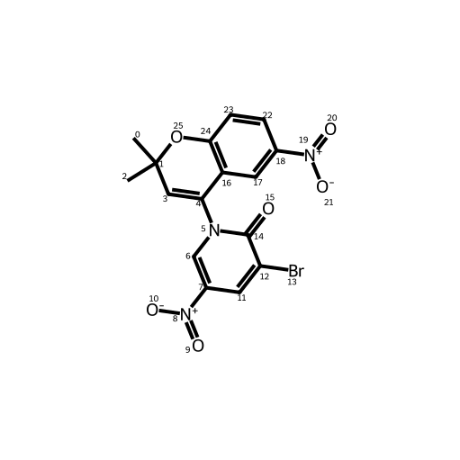 CC1(C)C=C(n2cc([N+](=O)[O-])cc(Br)c2=O)c2cc([N+](=O)[O-])ccc2O1